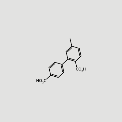 Cc1ccc(C(=O)O)c(-c2ccc(C(=O)O)cc2)c1